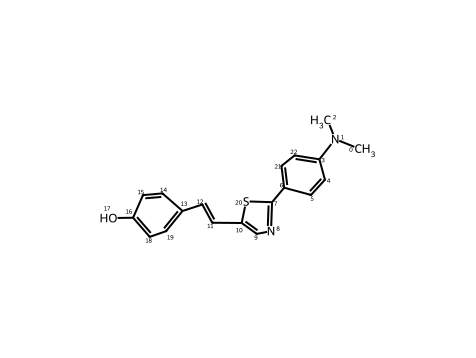 CN(C)c1ccc(-c2ncc(C=Cc3ccc(O)cc3)s2)cc1